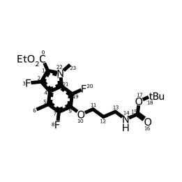 CCOC(=O)c1c(F)c2c(C)c(F)c(OCCCNC(=O)OC(C)(C)C)c(F)c2n1C